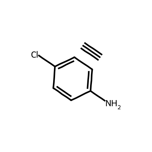 C#C.Nc1ccc(Cl)cc1